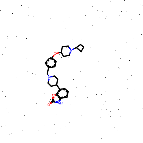 O=c1[nH]c2cccc(C3CCN(Cc4ccc(OC5CCN(C6CCC6)CC5)cc4)CC3)c2o1